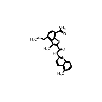 COCc1ccc(C(C)=O)c2sc(C(=O)Nc3ccc4c(C)cccc4n3)c(C)c12